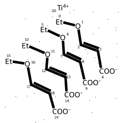 CCOC=CC(=O)[O-].CCOC=CC(=O)[O-].CCOC=CC(=O)[O-].CCOC=CC(=O)[O-].[Ti+4]